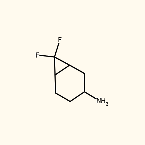 NC1CCC2C(C1)C2(F)F